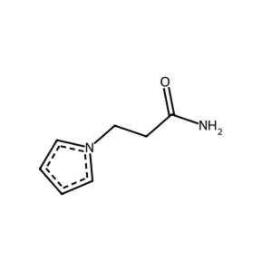 NC(=O)CCn1cccc1